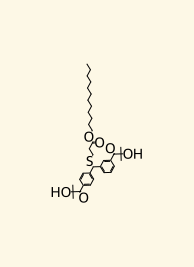 CCCCCCCCCCCCOC(=O)CCSC(c1ccc(C(=O)C(C)(C)O)cc1)c1cccc(C(=O)C(C)(C)O)c1